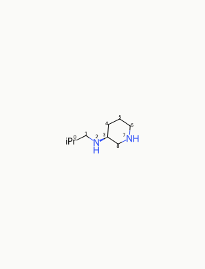 CC(C)CN[C@H]1CCCNC1